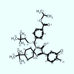 CC(C)OC(=O)c1ccc([C@@H](CCC(C)(C)C)N2C(=O)C(c3ccc(F)c(Cl)c3)=NC23CCC(C(C)(C)C)CC3)cc1